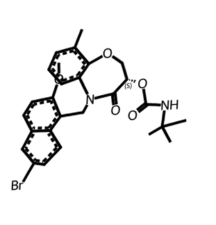 COc1ccc2cc(Br)ccc2c1CN1C(=O)[C@@H](OC(=O)NC(C)(C)C)COc2c(C)cccc21